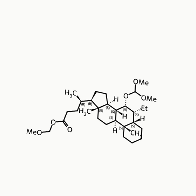 CC[C@H]1[C@@H](OC(OC)OC)[C@@H]2[C@H](CC[C@]3(C)[C@@H]([C@H](C)CCC(=O)OCOC)CC[C@@H]23)[C@@]2(C)CCCC[C@@H]12